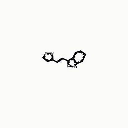 C(=C\c1n[nH]c2ccccc12)/c1ccon1